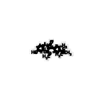 COC(=O)[C@@H]1[C@H](Cc2ccc(O)cc2)C(=O)N1c1ccc(C(C)(C)C)cc1